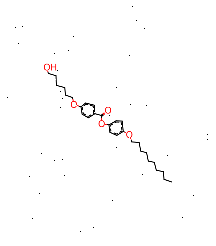 CCCCCCCCCCOc1ccc(OC(=O)c2ccc(OCCCCCCO)cc2)cc1